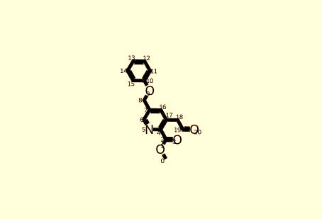 COC(=O)c1ncc(COc2ccccc2)cc1CC=O